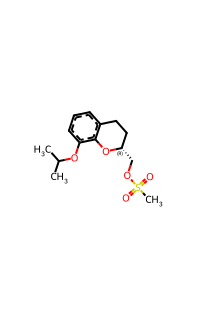 CC(C)Oc1cccc2c1O[C@@H](COS(C)(=O)=O)CC2